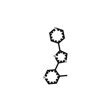 Cc1ccncc1-c1nc(-c2ccncc2)cs1